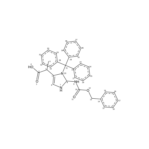 CC(C(=O)O)C1=CNC(NC(=O)OCc2ccccc2)N1C(c1ccccc1)(c1ccccc1)c1ccccc1